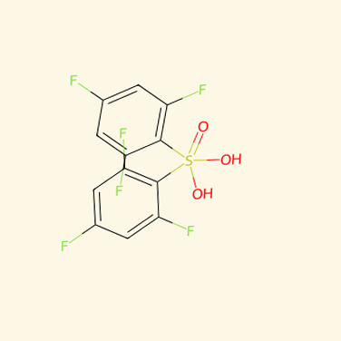 O=S(O)(O)(c1c(F)cc(F)cc1F)c1c(F)cc(F)cc1F